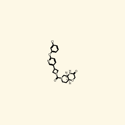 O=C1CO[C@H]2CCN(C(=O)N3CC(c4ccc(Oc5cccc(Cl)c5)nc4)C3)C[C@H]2N1